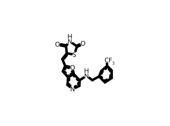 O=C1NC(=O)C(=Cc2cc3cncc(NCc4cccc(C(F)(F)F)c4)c3o2)S1